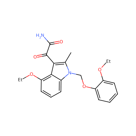 CCOc1ccccc1OCn1c(C)c(C(=O)C(N)=O)c2c(OCC)cccc21